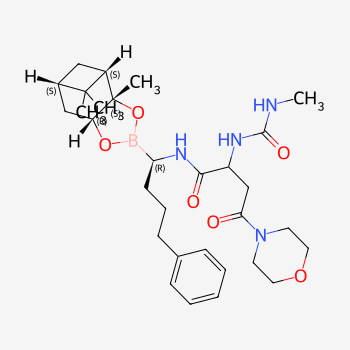 CNC(=O)NC(CC(=O)N1CCOCC1)C(=O)N[C@@H](CCCc1ccccc1)B1O[C@@H]2C[C@@H]3C[C@@H](C3(C)C)[C@]2(C)O1